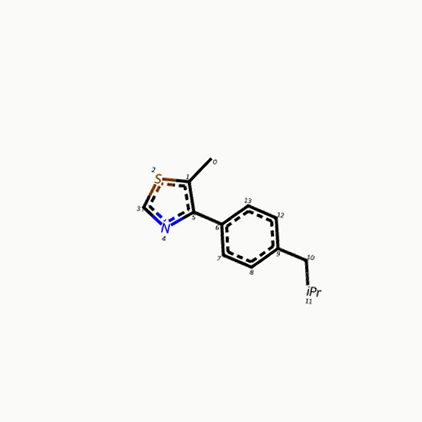 Cc1s[c]nc1-c1ccc(CC(C)C)cc1